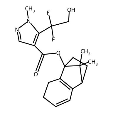 Cn1ncc(C(=O)OC23CCC(C4=C2CCC=C4)C3(C)C)c1C(F)(F)CO